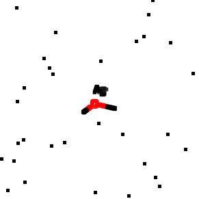 COC.[Ag]